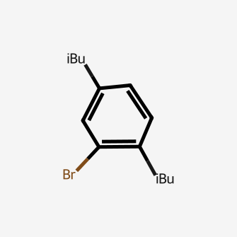 CCC(C)c1ccc(C(C)CC)c(Br)c1